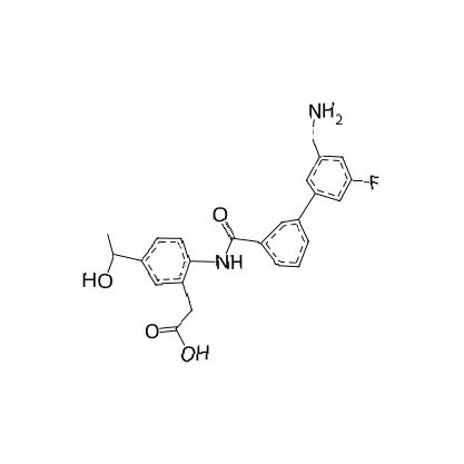 CC(O)c1ccc(NC(=O)c2cccc(-c3cc(F)cc(CN)c3)c2)c(CC(=O)O)c1